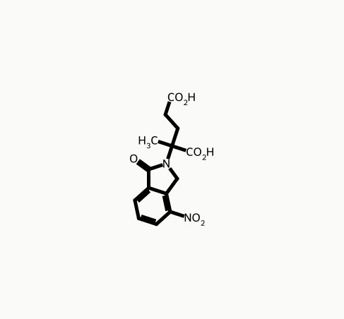 CC(CCC(=O)O)(C(=O)O)N1Cc2c(cccc2[N+](=O)[O-])C1=O